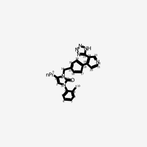 CCCc1cn(-c2ccccc2I)c(=O)n1Cc1ccc(-c2ccncc2-c2nnn[nH]2)cc1